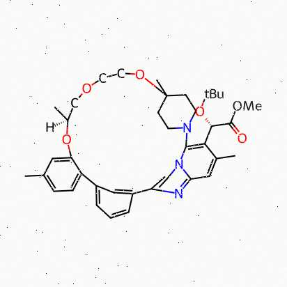 COC(=O)[C@@H](OC(C)(C)C)c1c(C)cc2nc3cn2c1N1CCC(C)(CC1)OCCOC[C@H](C)Oc1cc(C)ccc1-c1cccc-3c1